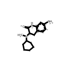 CN(C1CCCCC1)C1Cc2ccc(N)cc2NC1=O